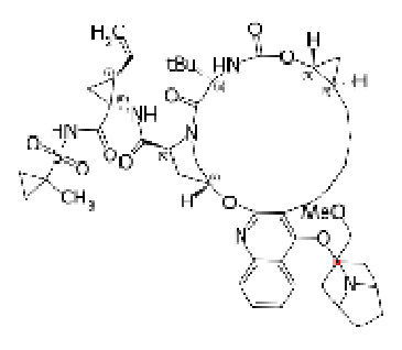 C=C[C@@H]1C[C@]1(NC(=O)[C@@H]1C[C@@H]2CN1C(=O)[C@H](C(C)(C)C)NC(=O)O[C@@H]1C[C@H]1CCCCCc1c(nc3ccccc3c1OC1CC3CCC(C1)N3CCOC)O2)C(=O)NS(=O)(=O)C1(C)CC1